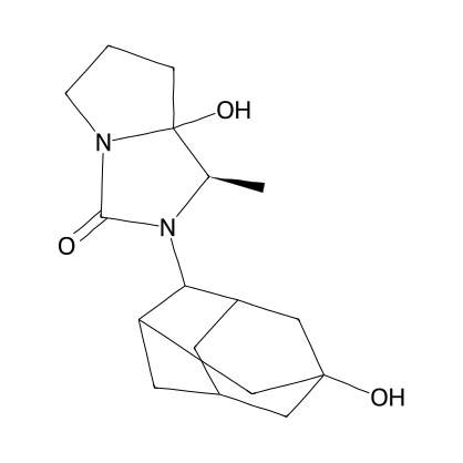 C[C@H]1N(C2C3CC4CC2CC(O)(C4)C3)C(=O)N2CCCC12O